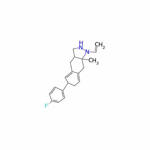 C=CN1NCC2CC3=CC(c4ccc(F)cc4)CC=C3CC21C